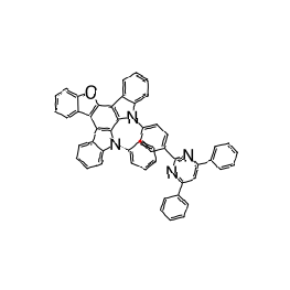 c1ccc(-c2cc(-c3ccccc3)nc(-c3ccc(-n4c5ccccc5c5c6oc7ccccc7c6c6c7ccccc7n(-c7ccccc7)c6c54)cc3)n2)cc1